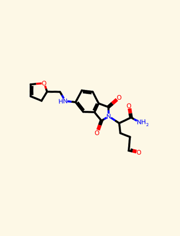 NC(=O)C(CCC=O)N1C(=O)c2ccc(NCC3CC=CO3)cc2C1=O